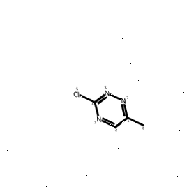 Cc1cnc(Cl)nn1